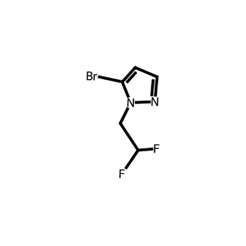 FC(F)Cn1nccc1Br